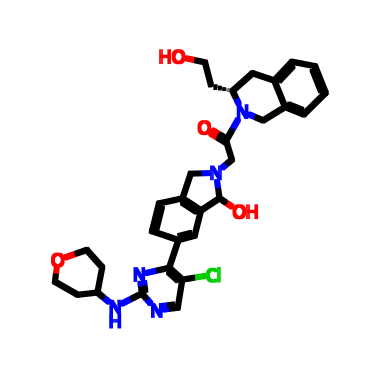 O=C(CN1Cc2ccc(-c3nc(NC4CCOCC4)ncc3Cl)cc2C1O)N1Cc2ccccc2C[C@H]1CCO